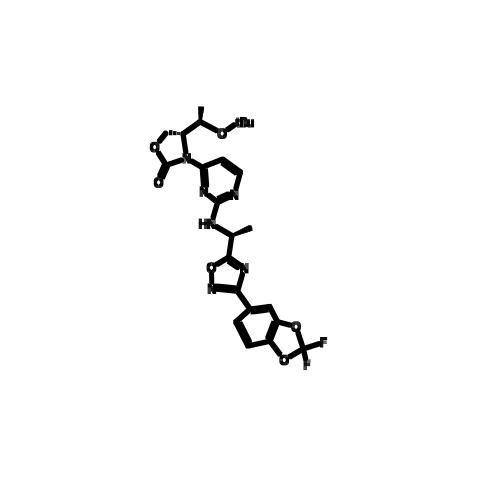 C[C@H](Nc1nccc(N2C(=O)OC[C@@H]2[C@@H](C)OC(C)(C)C)n1)c1nc(-c2ccc3c(c2)OC(F)(F)O3)no1